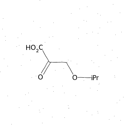 CC(C)OCC(=O)C(=O)O